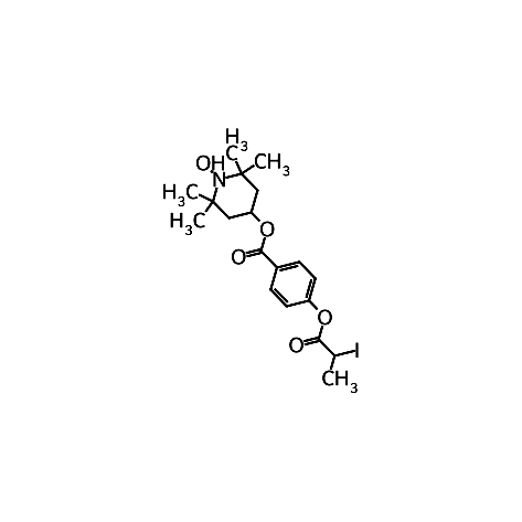 CC(I)C(=O)Oc1ccc(C(=O)OC2CC(C)(C)N(O)C(C)(C)C2)cc1